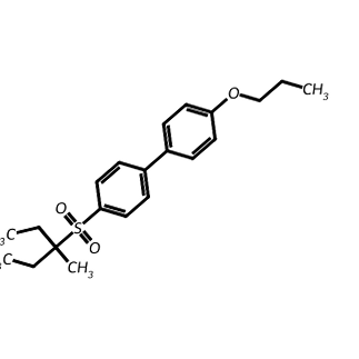 CCCOc1ccc(-c2ccc(S(=O)(=O)C(C)(CC)CC)cc2)cc1